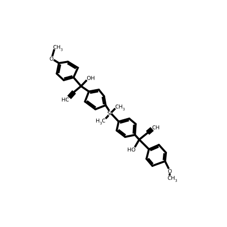 C#CC(O)(c1ccc(OC)cc1)c1ccc([Si](C)(C)c2ccc(C(O)(C#C)c3ccc(OC)cc3)cc2)cc1